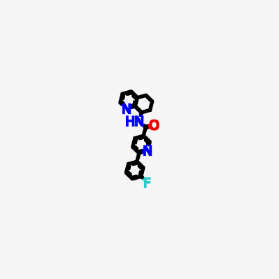 O=C(NC1CCCc2cccnc21)c1ccc(-c2cccc(F)c2)nc1